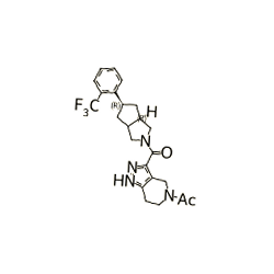 CC(=O)N1CCc2[nH]nc(C(=O)N3CC4C[C@@H](c5ccccc5C(F)(F)F)C[C@H]4C3)c2C1